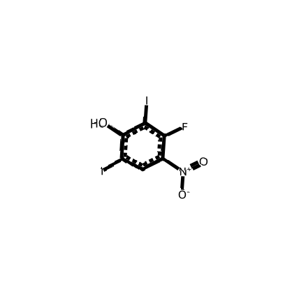 O=[N+]([O-])c1cc(I)c(O)c(I)c1F